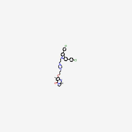 Cc1cc2c(cc1OCCCN1CCN(CCCn3c4ccc(-c5ccc(Cl)cc5)cc4c4cc(-c5ccc(Cl)cc5)ccc43)CC1)N=C[C@@H]1CCCN1C2=O